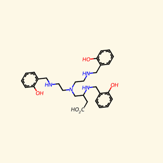 O=C(O)CC(CN(CCNCc1ccccc1O)CCNCc1ccccc1O)NCc1ccccc1O